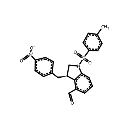 Cc1ccc(S(=O)(=O)N2C[C@H](Cc3ccc([N+](=O)[O-])cc3)c3c(C=O)cccc32)cc1